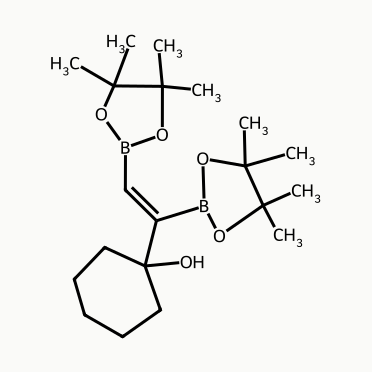 CC1(C)OB(C=C(B2OC(C)(C)C(C)(C)O2)C2(O)CCCCC2)OC1(C)C